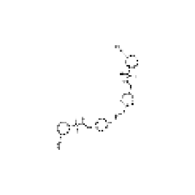 N#Cc1cccc(S(=O)(=O)NCc2ccc(COCc3ccc(CNS(=O)(=O)c4cccc(C#N)c4)cc3)cc2)c1